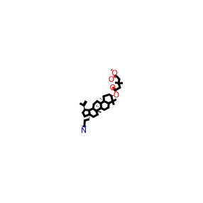 C=C(C)[C@@H]1CC[C@]2(CCC#N)CC[C@]3(C)C(CCC4[C@@]5(C)CC[C@H](OC(=O)CC(C)(C)CC(=O)OC)C(C)(C)C5CC[C@]43C)C12